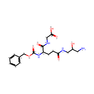 NCC(O)CNC(=O)CCC(NC(=O)OCc1ccccc1)C(=O)NCC(=O)O